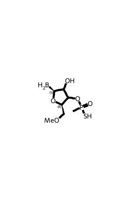 B[C@@H]1O[C@H](COC)C(OP(C)(=O)S)C1O